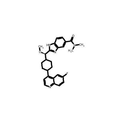 CO[C@@H](c1nc2cc(C(=O)N(C)C)ccc2[nH]1)C1CCC(c2ccnc3ccc(F)cc23)CC1